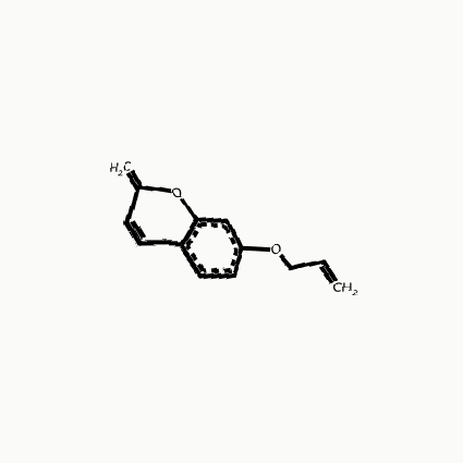 C=CCOc1ccc2c(c1)OC(=C)C=C2